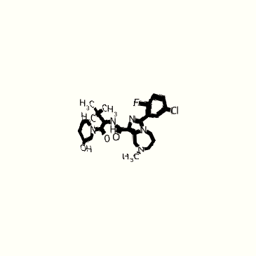 CN1CCCn2c(-c3cc(Cl)ccc3F)nc(C(=O)NC(C(=O)N3CCCC(O)C3)C(C)(C)C)c2C1